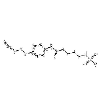 CCS(=O)(=O)NCCCCC(=O)Nc1ccc(OCN=[N+]=[N-])nc1